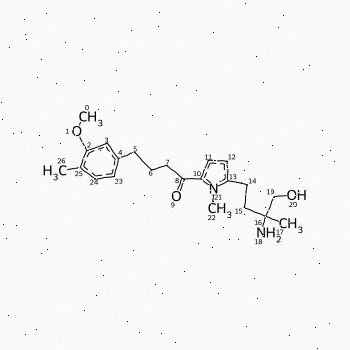 COc1cc(CCCC(=O)c2ccc(CCC(C)(N)CO)n2C)ccc1C